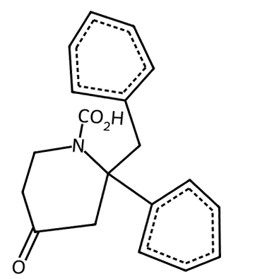 O=C1CCN(C(=O)O)C(Cc2ccccc2)(c2ccccc2)C1